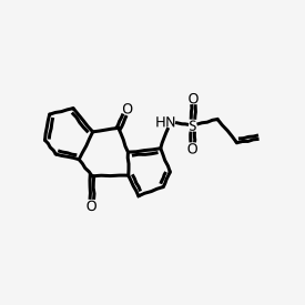 C=CCS(=O)(=O)Nc1cccc2c1C(=O)c1ccccc1C2=O